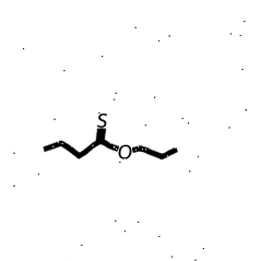 CCCOC(=S)CCC